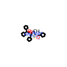 CN(C(=O)C(N)(NC(=O)C(c1ccccc1)c1ccccc1)c1ccccc1)C(=S)NC(=O)c1ccccc1